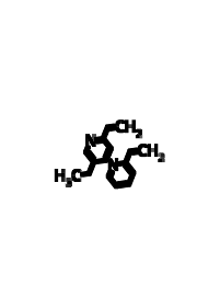 C=Cc1ccc(CC)cn1.C=Cc1ccccn1